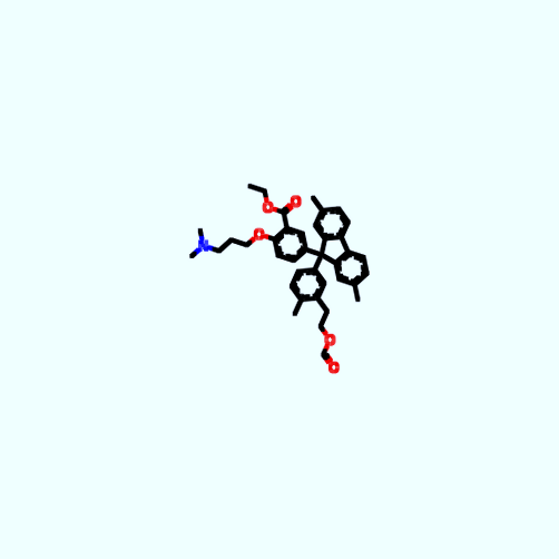 CCOC(=O)c1cc(C2(c3ccc(C)c(CCOC=O)c3)c3cc(C)ccc3-c3ccc(C)cc32)ccc1OCCCN(C)C